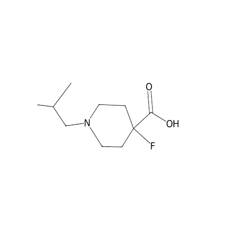 CC(C)CN1CCC(F)(C(=O)O)CC1